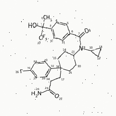 CC(O)(c1ccc(C(=O)N(C2CC2)C2CCC(CCC(N)=O)(c3ccc(F)cc3)CC2)cc1)C(F)(F)F